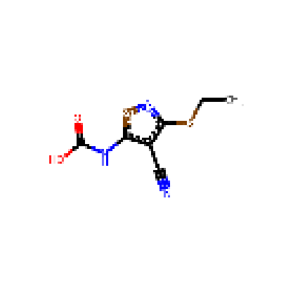 CCSc1nsc(NC(=O)O)c1C#N